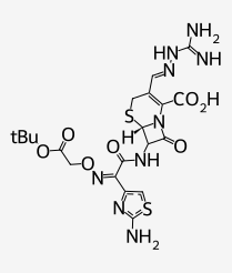 CC(C)(C)OC(=O)CO/N=C(\C(=O)NC1C(=O)N2C(C(=O)O)=C(C=NNC(=N)N)CS[C@@H]12)c1csc(N)n1